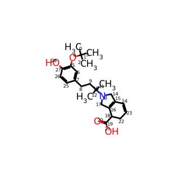 CC(C)(C)Oc1cc(CCC(C)(C)N2CC3=C(C2)C(C(=O)O)CC=C3)ccc1O